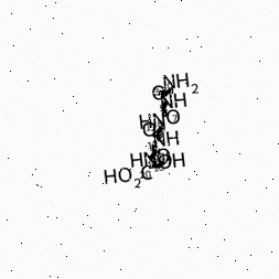 NCC(=O)NCC(=O)NCC(=O)NCC(=O)NC(CO)C(=O)O